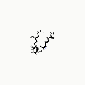 C=CCC(O)CC[C@@H]1[C@H](C/C=C\C=CCC(=O)O)[C@@H]2CC[C@H]1O2